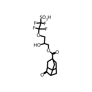 O=C1C2CC3CC1CC(C(=O)OCC(O)COC(F)(F)C(F)(F)S(=O)(=O)O)(C3)C2